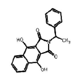 CC(c1ccccc1)N1C(=O)c2c(c(O)c3ccccc3c2O)C1=O